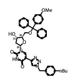 CCCCc1ccc(Cn2cc(-c3cn([C@H]4C[C@H](O)[C@@H](COC(c5ccccc5)(c5ccccc5)c5ccc(OC)cc5)O4)c(=O)[nH]c3=O)nn2)cc1